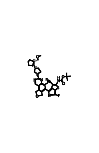 COC[C@H]1CCCN1[C@H]1CCN(c2ncc3c4c(c(-c5ncc(F)c6sc(NC(=O)OC(C)(C)C)c(C#N)c56)c(F)c3n2)COC4)C1